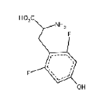 NC(Cc1c(F)cc(O)cc1F)C(=O)O